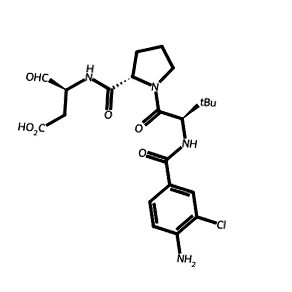 CC(C)(C)[C@@H](NC(=O)c1ccc(N)c(Cl)c1)C(=O)N1CCC[C@H]1C(=O)N[C@H](C=O)CC(=O)O